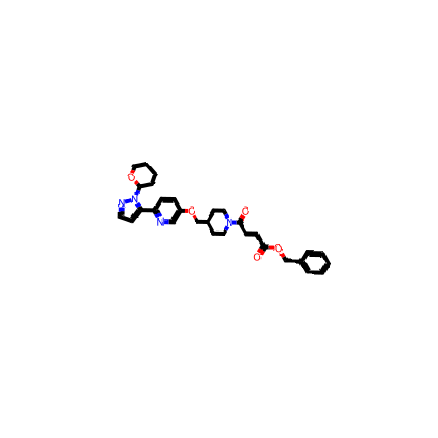 O=C(CCC(=O)N1CCC(COc2ccc(-c3ccnn3C3CCCCO3)nc2)CC1)OCc1ccccc1